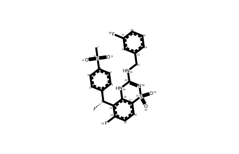 C[C@H](c1ccc(S(C)(=O)=O)cc1)c1c(F)ccc2c1NC(NCc1cccc(F)c1)=NS2(=O)=O